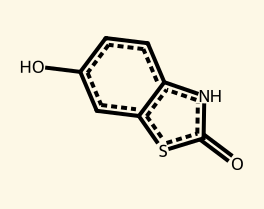 O=c1[nH]c2ccc(O)cc2s1